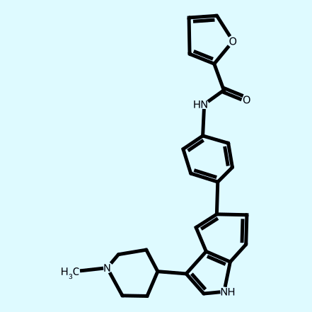 CN1CCC(c2c[nH]c3ccc(-c4ccc(NC(=O)c5ccco5)cc4)cc23)CC1